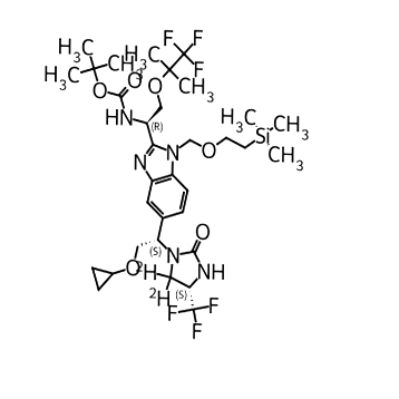 [2H]C1([2H])[C@@H](C(F)(F)F)NC(=O)N1[C@H](COC1CC1)c1ccc2c(c1)nc([C@H](COC(C)(C)C(F)(F)F)NC(=O)OC(C)(C)C)n2COCC[Si](C)(C)C